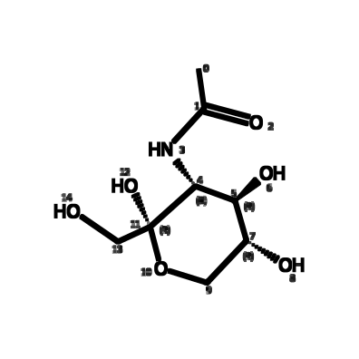 CC(=O)N[C@@H]1[C@@H](O)[C@H](O)CO[C@@]1(O)CO